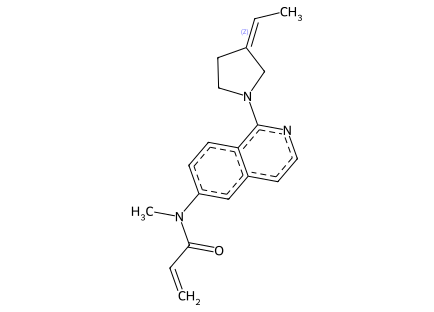 C=CC(=O)N(C)c1ccc2c(N3CC/C(=C/C)C3)nccc2c1